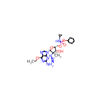 CCOc1nc(N)nc2c1ncn2[C@@H]1O[C@H](COP(=O)(NC2CC2)Oc2ccccc2)[C@@H](O)[C@@]1(C)N=[N+]=[N-]